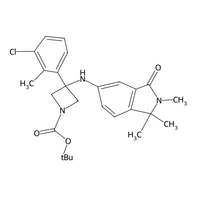 Cc1c(Cl)cccc1C1(Nc2ccc3c(c2)C(=O)N(C)C3(C)C)CN(C(=O)OC(C)(C)C)C1